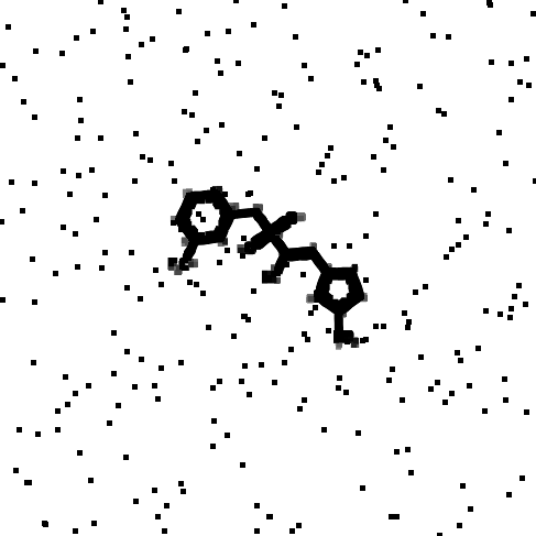 N#CC(=Cc1ccc([N+](=O)[O-])s1)S(=O)(=O)Cc1cccc(C(F)(F)F)c1